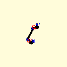 CN(CCCCCCCCCCN(C)C(=O)Oc1cccc([N+](C)(C)C)c1)C(=O)Oc1cccc([N+](C)(C)C)c1